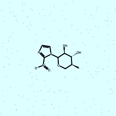 O=[N+]([O-])c1nccn1C1OC[C@H](I)[C@@H](O)[C@@H]1O